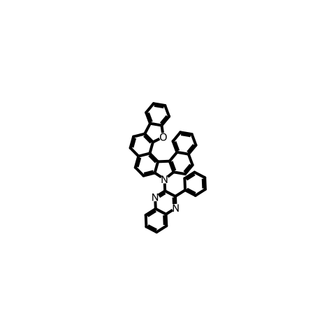 c1ccc(-c2nc3ccccc3nc2-n2c3ccc4ccccc4c3c3c4c(ccc5c6ccccc6oc54)ccc32)cc1